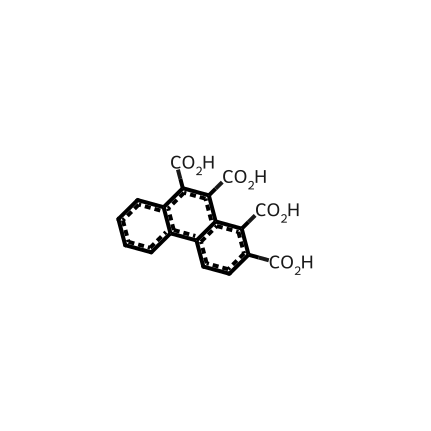 O=C(O)c1ccc2c(c1C(=O)O)c(C(=O)O)c(C(=O)O)c1ccccc12